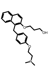 CN(C)CCOc1ccc(Cc2c(OCCCO)ccc3ccccc23)cc1